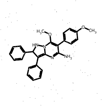 COC1=C(c2ccc(OC)cc2)C(N)=NC2=C(c3ccccc3)C(c3ccccc3)NN21